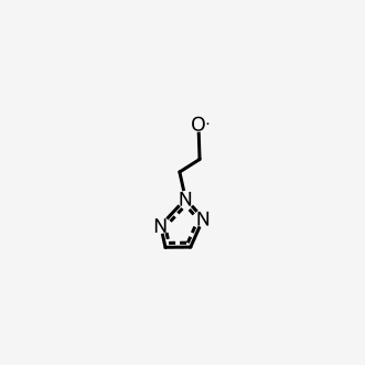 [O]CCn1nccn1